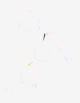 CC(C)CS(=O)(=O)[C@@H]1C[C@@H](C(N)=O)[C@H](C(=O)N2CCOCC2)C1